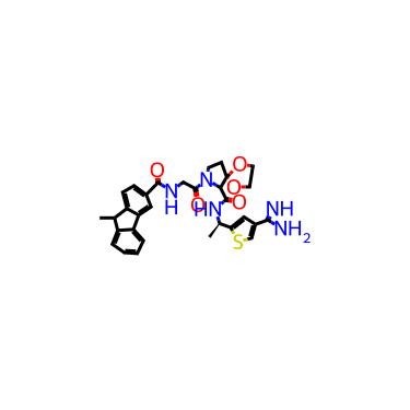 CC1c2ccccc2-c2cc(C(=O)NCC(=O)N3CCC4(OCCO4)C3C(=O)N[C@H](C)c3cc(C(=N)N)cs3)ccc21